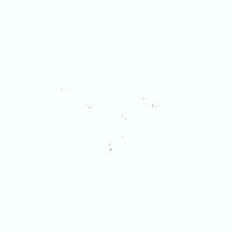 CC(C)(C)OC(=O)N1CCC(CCN2CCC(C(N)=O)(c3ccccc3)CC2)(c2ccc(Cl)c(Cl)c2)C1